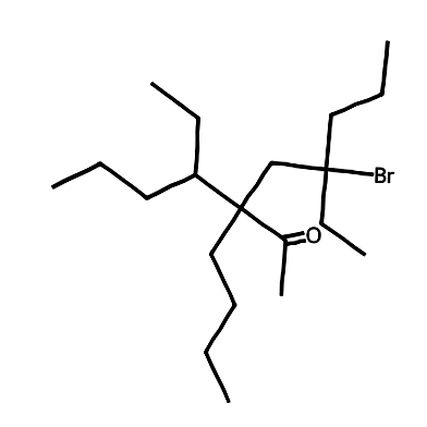 CCCCC(CC(Br)(CC)CCC)(C(C)=O)C(CC)CCC